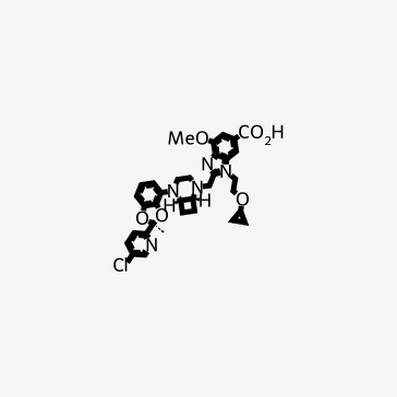 COc1cc(C(=O)O)cc2c1nc(CN1CCN(c3cccc4c3O[C@@](C)(c3ccc(Cl)cn3)O4)[C@H]3CC[C@H]31)n2CCOC1CC1